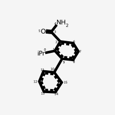 CC(C)c1c(C(N)=O)cccc1-c1ccccc1